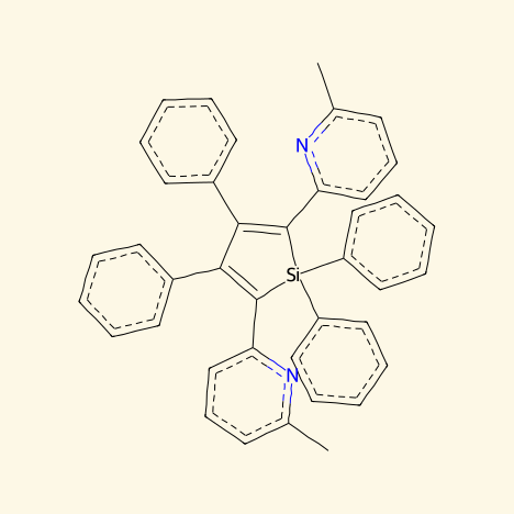 Cc1cccc(C2=C(c3ccccc3)C(c3ccccc3)=C(c3cccc(C)n3)[Si]2(c2ccccc2)c2ccccc2)n1